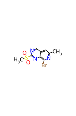 Cc1cc2cnc(S(C)(=O)=O)nc2c(Br)n1